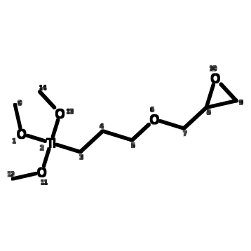 C[O][Ti]([CH2]CCOCC1CO1)([O]C)[O]C